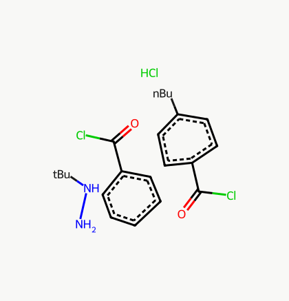 CC(C)(C)NN.CCCCc1ccc(C(=O)Cl)cc1.Cl.O=C(Cl)c1ccccc1